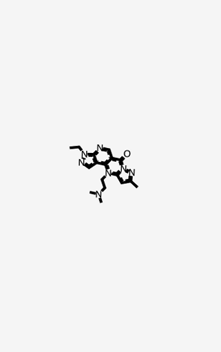 CCn1ncc2c1ncc1c(=O)n3nc(C)cc3n(CCN(C)C)c12